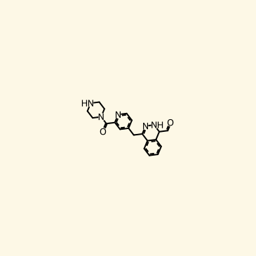 O=CC1NN=C(Cc2ccnc(C(=O)N3CCNCC3)c2)c2ccccc21